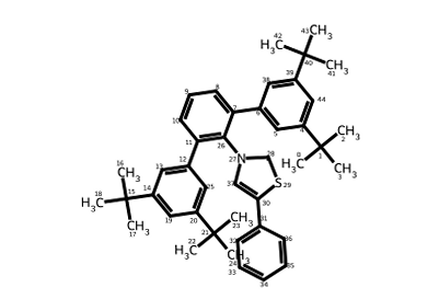 CC(C)(C)c1cc(-c2cccc(-c3cc(C(C)(C)C)cc(C(C)(C)C)c3)c2N2[C]SC(c3ccccc3)=C2)cc(C(C)(C)C)c1